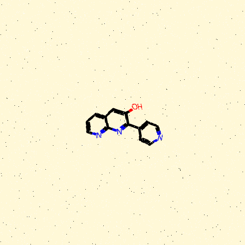 Oc1cc2cccnc2nc1-c1ccncc1